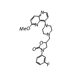 COc1ccc2nccc(N3CCN(CC4CN(c5cccc(F)c5)C(=O)O4)CC3)c2n1